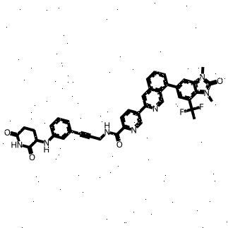 Cn1c(=O)n(C)c2c(C(C)(F)F)cc(-c3cccc4cc(-c5ccc(C(=O)NCC#Cc6cccc(NC7CCC(=O)NC7=O)c6)nc5)ncc34)cc21